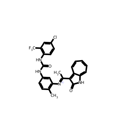 C/C(=N\c1cc(NC(=O)Nc2ccc(Cl)cc2C(F)(F)F)ccc1C)c1c2cccccc-2[nH]c1=O